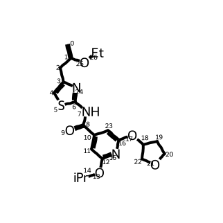 C=C(Cc1csc(NC(=O)c2cc(OC(C)C)nc(OC3CCOC3)c2)n1)OCC